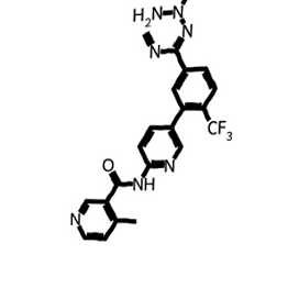 C=N/C(=N\N(C)N)c1ccc(C(F)(F)F)c(-c2ccc(NC(=O)c3cnccc3C)nc2)c1